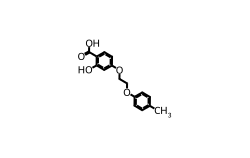 Cc1ccc(OCCOc2ccc(C(=O)O)c(O)c2)cc1